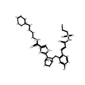 CCCS(=O)(=O)NC(=O)/C=C/c1ccc(F)cc1CC1C2CCC(O2)C1c1nc(C(=O)NCCCCC2CCCCC2)co1